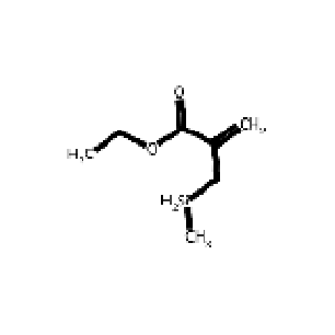 C=C(C[SiH2]C)C(=O)OCC